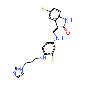 O=C1Nc2ccc(F)cc2C1=CNc1ccc(NCCCn2ccnc2)c(F)c1